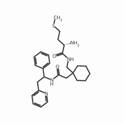 CSCC[C@H](N)C(=O)NCC1(CC(=O)NC(Cc2ccccn2)c2ccccc2)CCCCC1